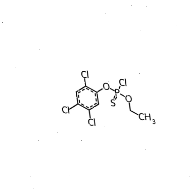 CCOP(=S)(Cl)Oc1cc(Cl)c(Cl)cc1Cl